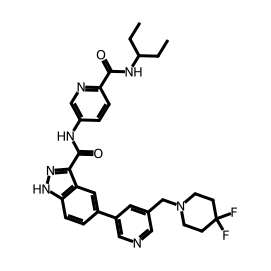 CCC(CC)NC(=O)c1ccc(NC(=O)c2n[nH]c3ccc(-c4cncc(CN5CCC(F)(F)CC5)c4)cc23)cn1